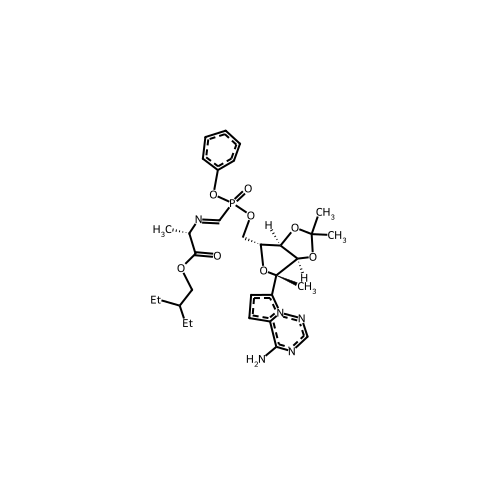 CCC(CC)COC(=O)[C@H](C)/N=C/P(=O)(OC[C@H]1O[C@@](C)(c2ccc3c(N)ncnn23)[C@@H]2OC(C)(C)O[C@@H]21)Oc1ccccc1